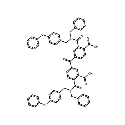 O=C(c1ccc(C(=O)N(Cc2ccccc2)Cc2ccc(Oc3ccccc3)cc2)c(C(=O)O)c1)c1ccc(C(=O)O)c(C(=O)N(Cc2ccccc2)Cc2ccc(Oc3ccccc3)cc2)c1